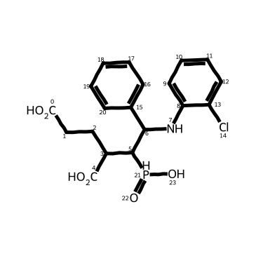 O=C(O)CCC(C(=O)O)C(C(Nc1ccccc1Cl)c1ccccc1)[PH](=O)O